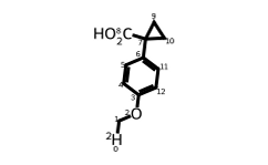 [2H]COc1ccc(C2(C(=O)O)CC2)cc1